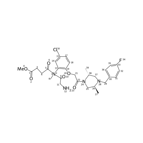 COC(=O)CCC(=O)[N+](C)(C(=O)CN)c1cc(Cl)ccc1OCC(=O)N1C[C@H](C)N(Cc2ccc(F)cc2)C[C@H]1C